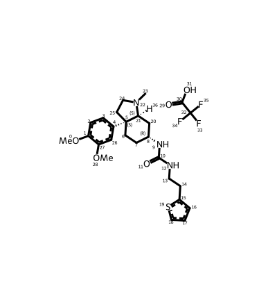 COc1ccc([C@@]23CC[C@@H](NC(=O)NCCc4cccs4)C[C@@H]2N(C)CC3)cc1OC.O=C(O)C(F)(F)F